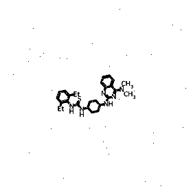 CCc1cccc(CC)c1NC(=S)NC1CCC(Nc2nc(N(C)C)c3ccccc3n2)CC1